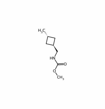 COC(=O)NC[C@H]1C[C@H](C)C1